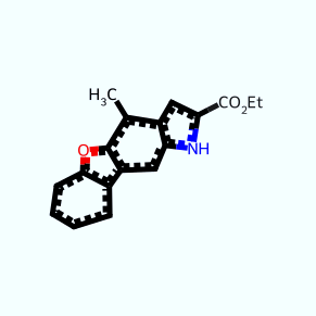 CCOC(=O)c1cc2c(C)c3oc4ccccc4c3cc2[nH]1